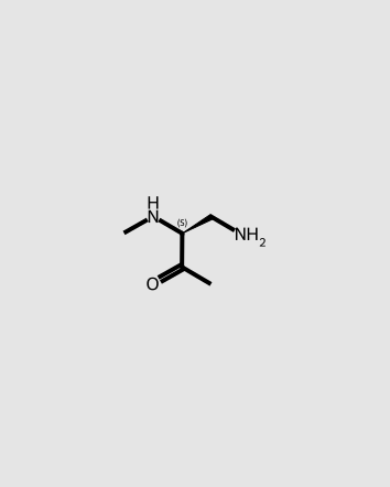 CN[C@@H](CN)C(C)=O